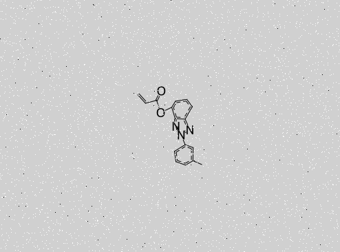 C=CC(=O)Oc1cccc2nn(-c3cccc(C)c3)nc12